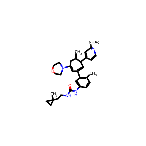 C=C1CC(N2CCOCC2)=CC(c2cc(NC(=O)NCCC3(C)CC3)ccc2C)=CC1c1ccnc(NC(C)=O)c1